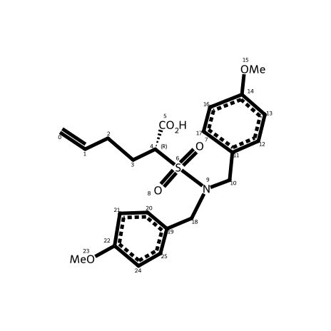 C=CCC[C@H](C(=O)O)S(=O)(=O)N(Cc1ccc(OC)cc1)Cc1ccc(OC)cc1